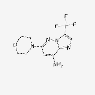 Nc1cc(N2CCOCC2)nn2c(C(F)(F)F)cnc12